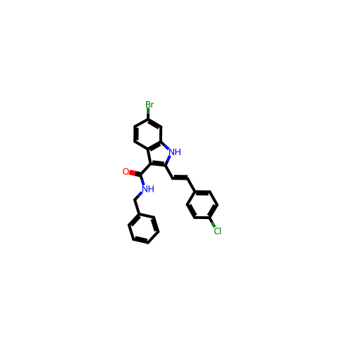 O=C(NCc1ccccc1)c1c(/C=C/c2ccc(Cl)cc2)[nH]c2cc(Br)ccc12